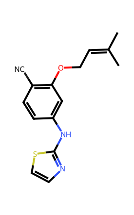 CC(C)=CCOc1cc(Nc2nccs2)ccc1C#N